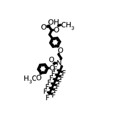 CCOC(Cc1ccc(OCCN(CC(F)(F)C(F)(F)C(F)(F)C(F)(F)C(F)(F)C(F)(F)F)C(=O)Oc2cccc(OC)c2)cc1)C(=O)O